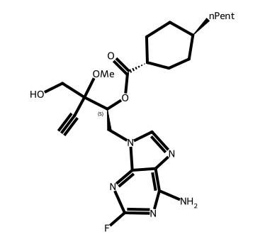 C#CC(CO)(OC)[C@H](Cn1cnc2c(N)nc(F)nc21)OC(=O)[C@H]1CC[C@H](CCCCC)CC1